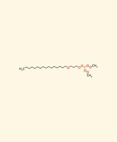 CCCCCCCCCCCCCCCCOCCCOOP(OOC)OOC